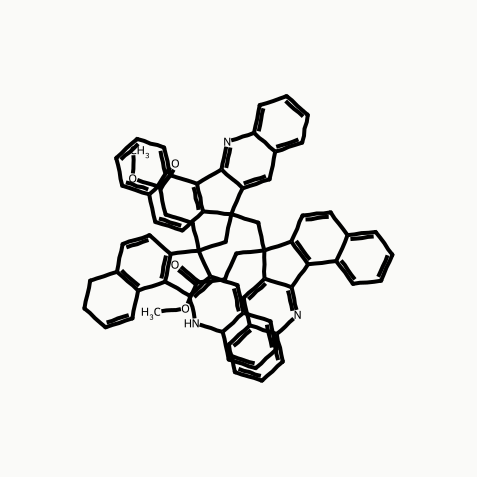 COC(=O)CCC1(CC2(CC3(CCC(=O)OC)c4cc5ccccc5nc4-c4c3ccc3ccccc43)c3cc4ccccc4nc3-c3c2ccc2ccccc32)C2=C(NC3C=CC=CC3=C2)c2c1ccc1c2C=CCC1